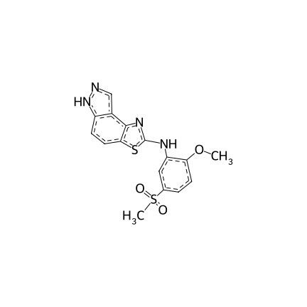 COc1ccc(S(C)(=O)=O)cc1Nc1nc2c(ccc3[nH]ncc32)s1